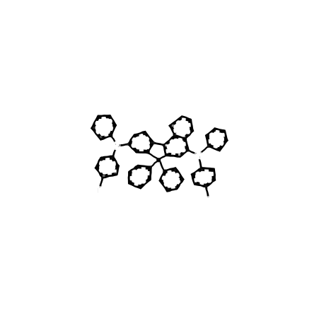 Fc1ccc(N(c2ccccc2)c2ccc3c(c2)C(c2ccccc2)(c2ccccc2)c2cc(N(c4ccccc4)c4ccc(F)cc4)c4ccccc4c2-3)cc1